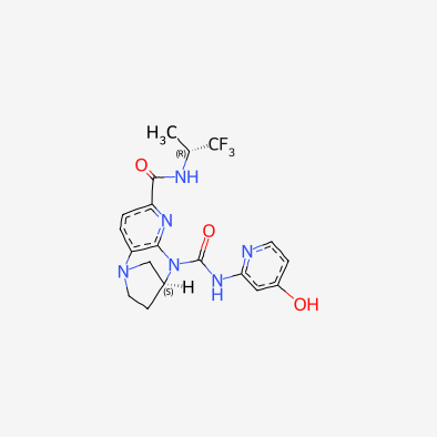 C[C@@H](NC(=O)c1ccc2c(n1)N(C(=O)Nc1cc(O)ccn1)[C@H]1CCN2C1)C(F)(F)F